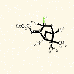 CCOC(=O)C=C1[C@H](F)C[C@H]2C[C@H]1C2(C)C